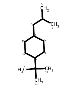 [CH2]C(C)CC1CCC(C(C)(C)C)CC1